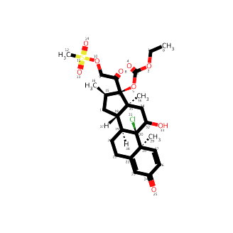 CCOC(=O)O[C@]1(C(=O)COS(C)(=O)=O)[C@H](C)C[C@H]2[C@@H]3CCC4=CC(=O)C=C[C@]4(C)[C@@]3(Cl)C(O)C[C@@]21C